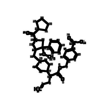 C=CCN(C(=O)OCc1ccc([N+](=O)[O-])cc1)C1CCN(CC2CN(C(=O)C3CCCC3)CC2(OC)c2ccccc2)CC1